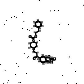 O=C(CCN1CCN(C(=O)OCCc2ccccc2)CC1)c1ccc2[nH]c(=O)oc2c1